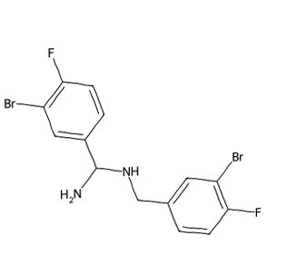 NC(NCc1ccc(F)c(Br)c1)c1ccc(F)c(Br)c1